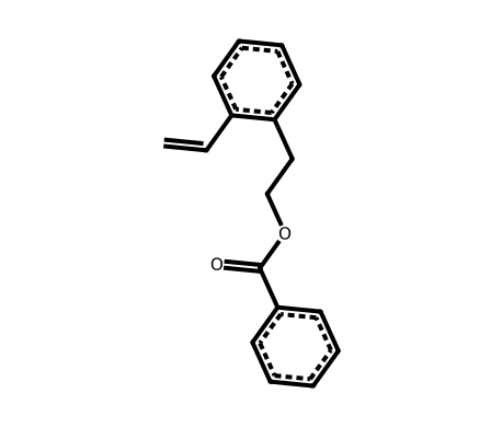 C=Cc1ccccc1CCOC(=O)c1ccccc1